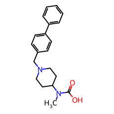 CN(C(=O)O)C1CCN(Cc2ccc(-c3ccccc3)cc2)CC1